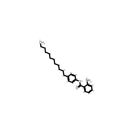 CCCCCCCCCCCCc1ccc(OC(=O)c2ccccc2N)cc1